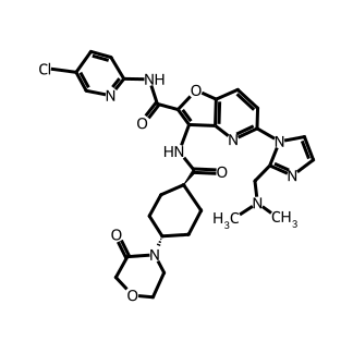 CN(C)Cc1nccn1-c1ccc2oc(C(=O)Nc3ccc(Cl)cn3)c(NC(=O)[C@H]3CC[C@H](N4CCOCC4=O)CC3)c2n1